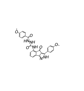 COc1ccc(C(=O)NNC(=O)Nc2cccc3c2C(=O)c2c-3n[nH]c2-c2ccc(OC)cc2)cc1